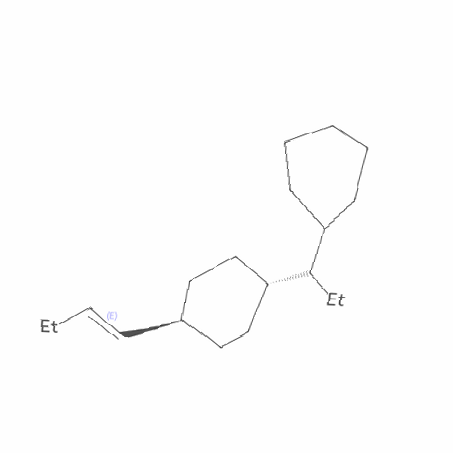 CC/C=C/[C@H]1CC[C@H](C(CC)C2CCCCC2)CC1